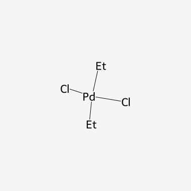 C[CH2][Pd]([Cl])([Cl])[CH2]C